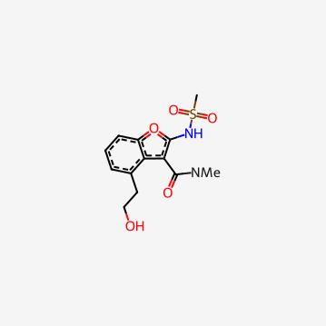 CNC(=O)c1c(NS(C)(=O)=O)oc2cccc(CCO)c12